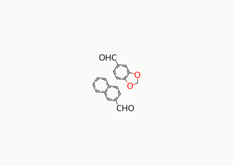 O=Cc1ccc2c(c1)OCO2.O=Cc1ccc2ccccc2c1